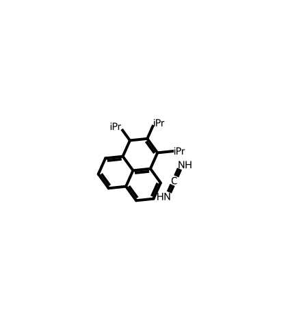 CC(C)C1=C(C(C)C)C(C(C)C)c2cccc3cccc1c23.N=C=N